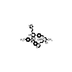 CCO[C@H](C)COCc1ccc([C@H]2C[C@H](CCn3cnnc3)NC[C@@H]2OC(c2ccc3c(c2)N(CCCOC)CCO3)S(=O)(=O)c2ccc(C)cc2)cc1